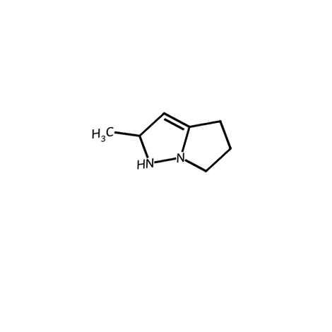 CC1C=C2CCCN2N1